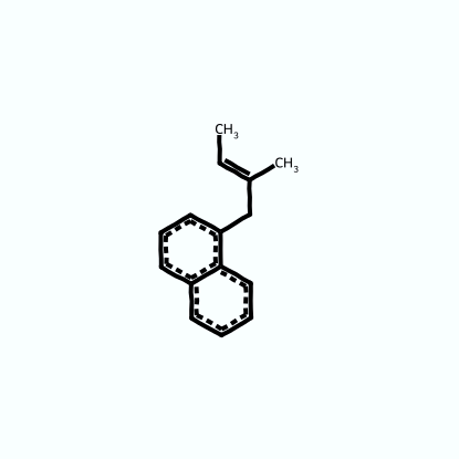 CC=C(C)Cc1cccc2ccccc12